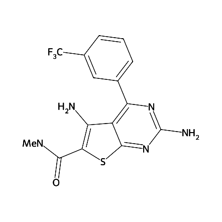 CNC(=O)c1sc2nc(N)nc(-c3cccc(C(F)(F)F)c3)c2c1N